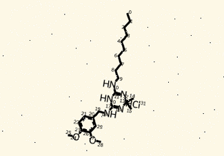 CCCCCCCCCCNC1=NC(C)(C)N=C(NCc2ccc(OC)c(OC)c2)N1.Cl